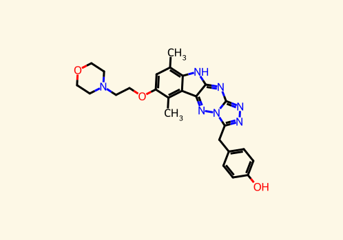 Cc1cc(OCCN2CCOCC2)c(C)c2c1[nH]c1nc3nnc(Cc4ccc(O)cc4)n3nc12